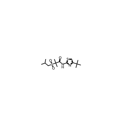 CC(C)CS(=O)(=O)C(C)(C)C(=O)Nc1nc(C(C)(C)C)cs1